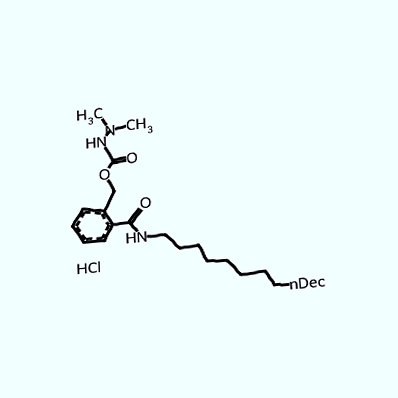 CCCCCCCCCCCCCCCCCCNC(=O)c1ccccc1COC(=O)NN(C)C.Cl